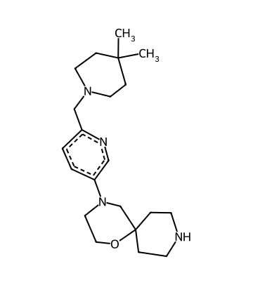 CC1(C)CCN(Cc2ccc(N3CCOC4(CCNCC4)C3)cn2)CC1